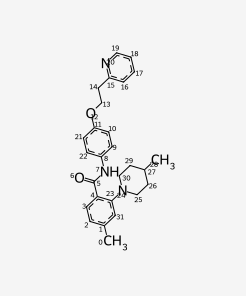 Cc1ccc(C(=O)Nc2ccc(OCCc3ccccn3)cc2)c(N2CCC(C)CC2)c1